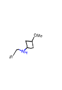 COC1CC(NCC(C)C)C1